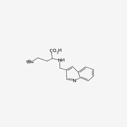 CC(C)(C)CCC(NCc1cnc2ccccc2c1)C(=O)O